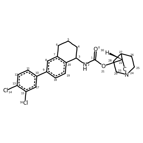 O=C(NC1CCCc2cc(-c3ccc(Cl)c(Cl)c3)ccc21)O[C@H]1CN2CCC1CC2